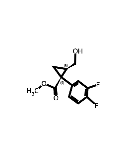 COC(=O)[C@@]1(c2ccc(F)c(F)c2)C[C@H]1CO